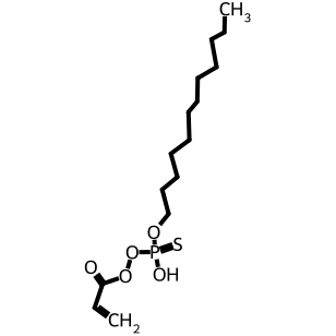 C=CC(=O)OOP(O)(=S)OCCCCCCCCCCCC